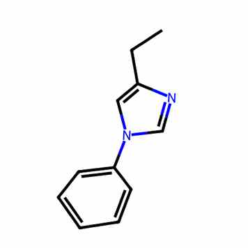 CCc1cn(-c2ccccc2)cn1